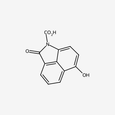 O=C(O)N1C(=O)c2cccc3c(O)ccc1c23